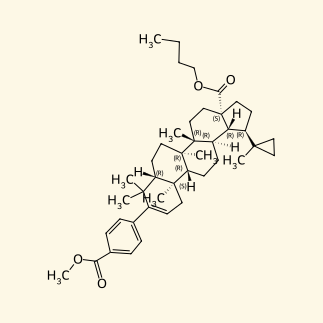 CCCCOC(=O)[C@]12CC[C@@H](C3(C)CC3)[C@@H]1[C@H]1CC[C@@H]3[C@@]4(C)CC=C(c5ccc(C(=O)OC)cc5)C(C)(C)[C@@H]4CC[C@@]3(C)[C@]1(C)CC2